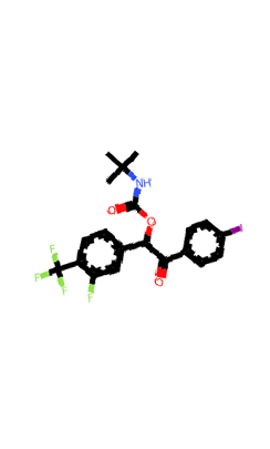 CC(C)(C)NC(=O)OC(C(=O)c1ccc(I)cc1)c1ccc(C(F)(F)F)c(F)c1